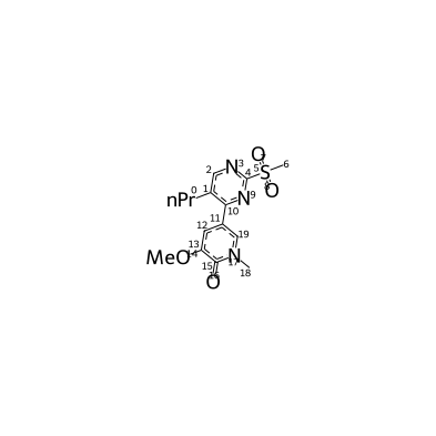 CCCc1cnc(S(C)(=O)=O)nc1-c1cc(OC)c(=O)n(C)c1